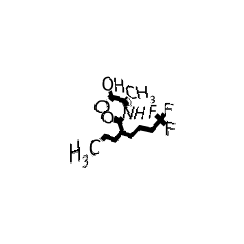 CCCC(CCCC(F)(F)F)C(=O)N[C@@H](C)C(=O)O